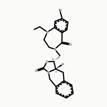 CCN1CCN(C[C@H]2OC(=O)N3Cc4ccccc4C[C@@H]23)C(=O)c2ccc(Br)cc21